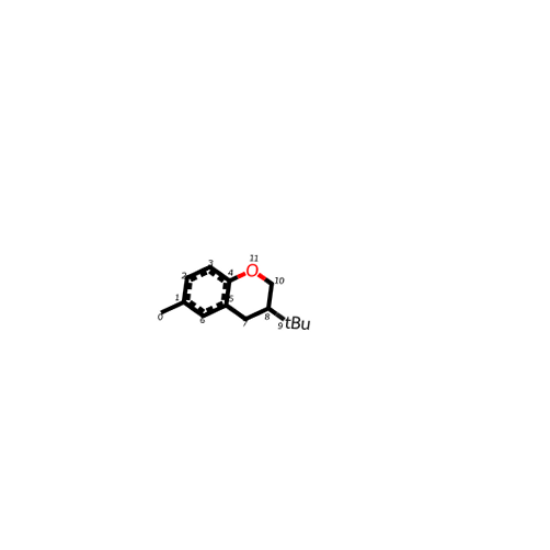 Cc1ccc2c(c1)CC(C(C)(C)C)CO2